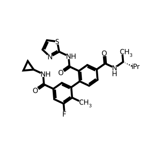 Cc1c(F)cc(C(=O)NC2CC2)cc1-c1ccc(C(=O)N[C@H](C)C(C)C)cc1C(=O)Nc1nccs1